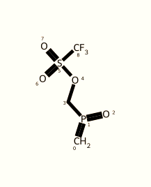 C=P(=O)COS(=O)(=O)C(F)(F)F